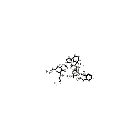 C=CCNC(=O)C(=O)C(CCCC)NC(=O)[C@@H]1CCCN1C(=O)[C@@H](NC(=O)N[C@H](CN1Cc2ccccc2S1(=O)=O)C(C)(C)C)C1(C)CCCCC1